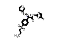 CCCS(=O)(=O)c1ccc(/C(=N\O[C@@H]2CCOC2)C(=O)Nc2ncc(F)s2)cc1